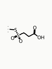 [C]SS(=O)(=O)CCC(=O)O